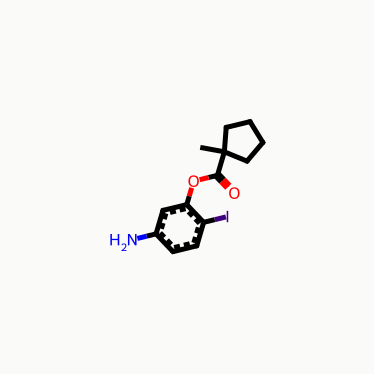 CC1(C(=O)Oc2cc(N)ccc2I)CCCC1